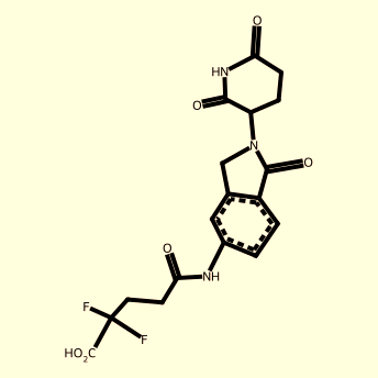 O=C1CCC(N2Cc3cc(NC(=O)CCC(F)(F)C(=O)O)ccc3C2=O)C(=O)N1